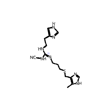 Cc1[nH]cnc1CSCCC/N=C(\NC#N)NCCc1c[nH]cn1